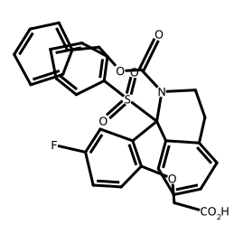 O=C(O)COc1ccc(F)cc1C1(S(=O)(=O)c2ccccc2)c2ccccc2CCN1C(=O)OCc1ccccc1